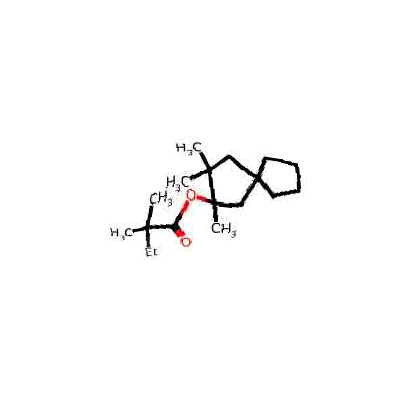 CCC(C)(C)C(=O)OC1(C)CC2(CCCC2)CC1(C)C